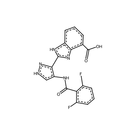 O=C(Nc1c[nH]nc1-c1nc2c(C(=O)O)cccc2[nH]1)c1c(F)cccc1F